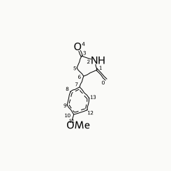 C=C1NC(=O)CC1c1ccc(OC)cc1